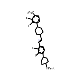 CCCCCC1CCC(c2ccc(/C=C/C3CCC(c4ccc(OC)c(F)c4F)CC3)c(F)c2F)CC1